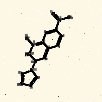 O=[N+]([O-])c1ccc2c(c1)=[N+]([O-])NN(n1ccnn1)C=2